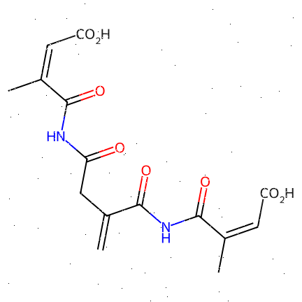 C=C(CC(=O)NC(=O)/C(C)=C\C(=O)O)C(=O)NC(=O)/C(C)=C\C(=O)O